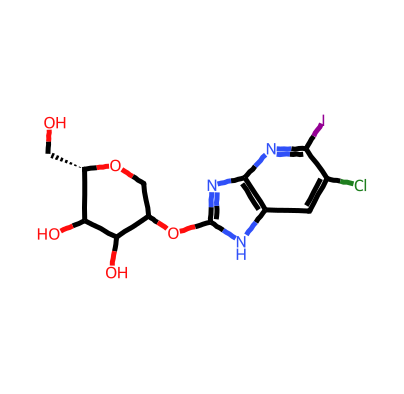 OC[C@@H]1OCC(Oc2nc3nc(I)c(Cl)cc3[nH]2)C(O)C1O